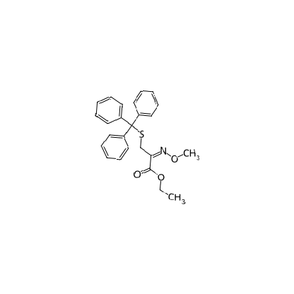 CCOC(=O)C(CSC(c1ccccc1)(c1ccccc1)c1ccccc1)=NOC